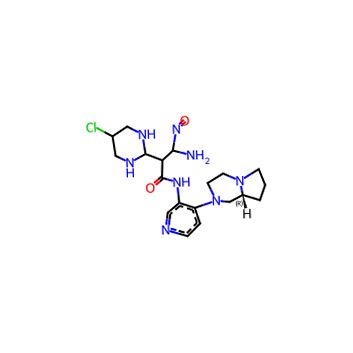 NC(N=O)C(C(=O)Nc1cnccc1N1CCN2CCC[C@@H]2C1)C1NCC(Cl)CN1